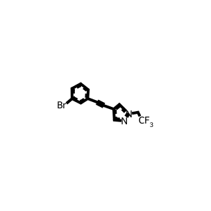 FC(F)(F)Cn1cc(C#Cc2cccc(Br)c2)cn1